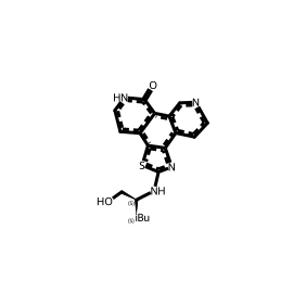 CC[C@H](C)[C@@H](CO)Nc1nc2c3ccncc3c3c(=O)[nH]ccc3c2s1